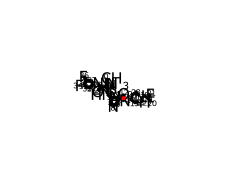 Cc1nsc(Nc2cncc(C(=O)NC3CCN(CC(F)(F)F)CC3)n2)c1C(=O)Nc1ccc(F)c(F)c1